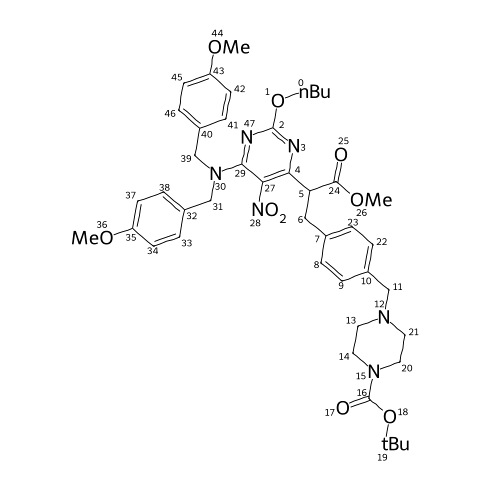 CCCCOc1nc(C(Cc2ccc(CN3CCN(C(=O)OC(C)(C)C)CC3)cc2)C(=O)OC)c([N+](=O)[O-])c(N(Cc2ccc(OC)cc2)Cc2ccc(OC)cc2)n1